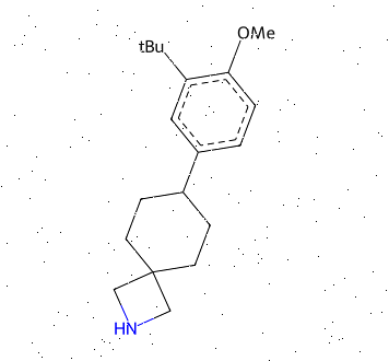 COc1ccc(C2CCC3(CC2)CNC3)cc1C(C)(C)C